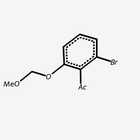 COCOc1cccc(Br)c1C(C)=O